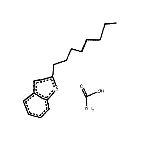 CCCCCCCCc1cc2ccccc2s1.NC(=O)O